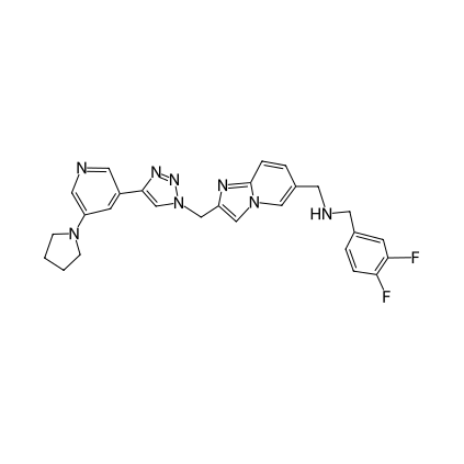 Fc1ccc(CNCc2ccc3nc(Cn4cc(-c5cncc(N6CCCC6)c5)nn4)cn3c2)cc1F